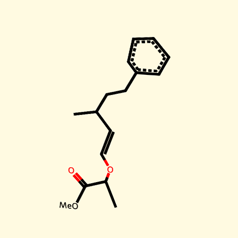 COC(=O)C(C)OC=CC(C)CCc1ccccc1